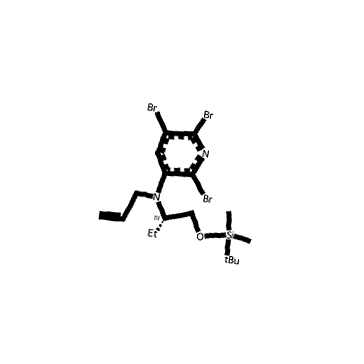 C=CCN(c1cc(Br)c(Br)nc1Br)[C@@H](CC)CO[Si](C)(C)C(C)(C)C